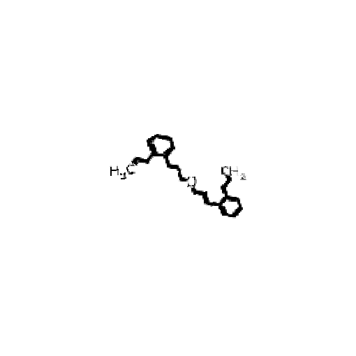 C=CCc1ccccc1C=CCOCC=Cc1ccccc1CC=C